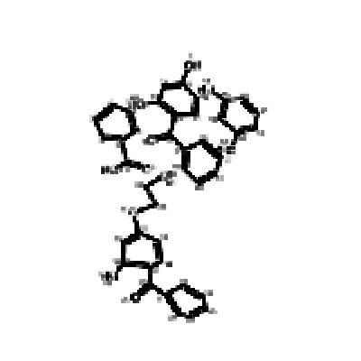 O=C(O)c1ccccc1.O=C(c1ccccc1)c1ccc(O)cc1O.O=C(c1ccccc1)c1ccc(OCCO)cc1O.Oc1cccc(O)c1